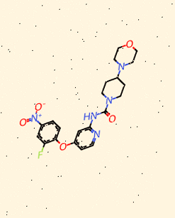 O=C(Nc1cc(Oc2ccc([N+](=O)[O-])cc2F)ccn1)N1CCC(N2CCOCC2)CC1